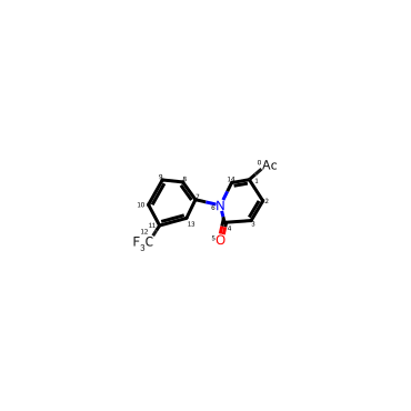 CC(=O)c1ccc(=O)n(-c2cccc(C(F)(F)F)c2)c1